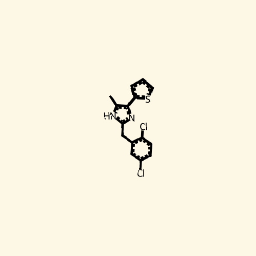 Cc1[nH]c(Cc2cc(Cl)ccc2Cl)nc1-c1cccs1